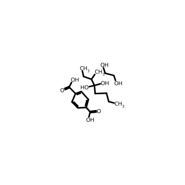 CCCCC(O)(O)C(C)CC.O=C(O)c1ccc(C(=O)O)cc1.OCCO